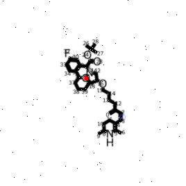 C=C(/C=C\C1=C(C)NC(C)CC1)CCCCOC1CCN(C(C(=O)OC(C)(C)C)c2cc(F)ccc2C2CCCCO2)C1